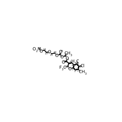 Cc1cc2c(c(C)c1Cl)C=C(C(=O)OC(C)OC(=O)OCCOCCO[N+](=O)[O-])[C@@H](C(F)(F)F)O2